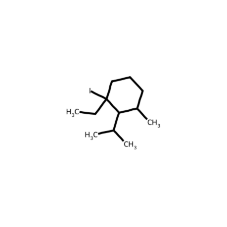 CCC1(I)CCCC(C)C1C(C)C